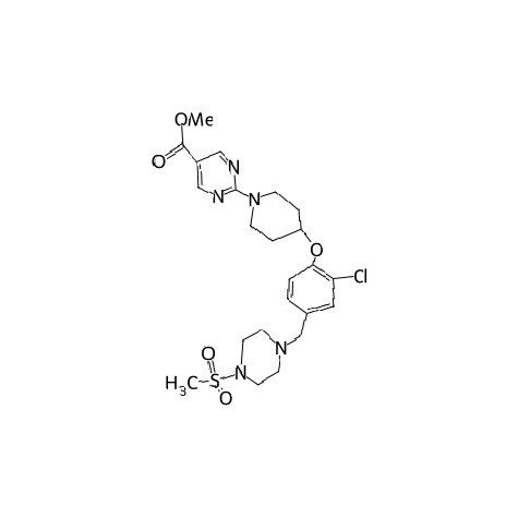 COC(=O)c1cnc(N2CCC(Oc3ccc(CN4CCN(S(C)(=O)=O)CC4)cc3Cl)CC2)nc1